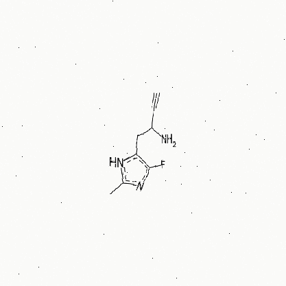 C#CC(N)Cc1[nH]c(C)nc1F